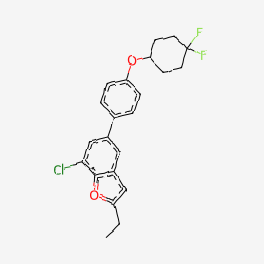 CCc1cc2cc(-c3ccc(OC4CCC(F)(F)CC4)cc3)cc(Cl)c2o1